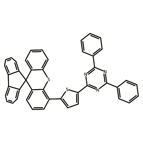 c1ccc(-c2nc(-c3ccccc3)nc(-c3ccc(-c4cccc5c4Sc4ccccc4C54c5ccccc5-c5ccccc54)s3)n2)cc1